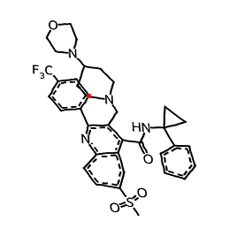 CS(=O)(=O)c1ccc2nc(-c3ccc(C(F)(F)F)cc3)c(CN3CCC(N4CCOCC4)CC3)c(C(=O)NC3(c4ccccc4)CC3)c2c1